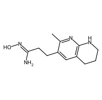 Cc1nc2c(cc1CC/C(N)=N/O)CCCN2